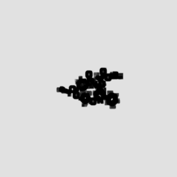 C#CCOC(=O)N1CCN(C(=O)[C@H](CCC(=O)OC(C)(C)C)NC(=O)c2cc(OC3CCCC3)nc(-c3ccccc3)n2)CC1